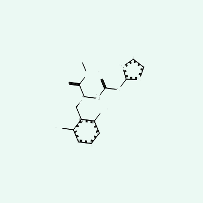 COC(=O)[C@H](Cc1c(F)cccc1F)NC(=S)Nc1nccs1